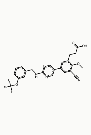 COc1c(C#N)cc(-c2cnc(NCc3cccc(OC(F)(F)F)c3)nc2)cc1CCC(=O)O